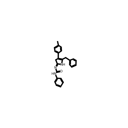 Cc1ccc(C2=C(Cc3ccccc3)N/C(=N\C(=O)Nc3ccccc3)C2)cc1